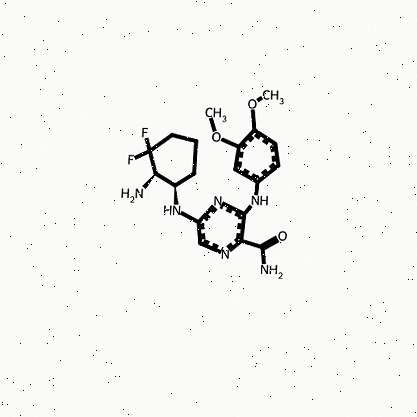 COc1ccc(Nc2nc(N[C@@H]3CCCC(F)(F)[C@@H]3N)cnc2C(N)=O)cc1OC